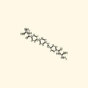 N=C(N)NC(=O)c1ccc(OCc2ccc(-c3ccc(C(=O)NC(=N)N)cc3)cc2)cc1